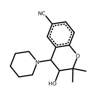 CC1(C)Oc2ccc(C#N)cc2C(N2CCCCC2)C1O